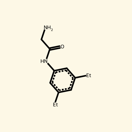 CCc1cc(CC)cc(NC(=O)CN)c1